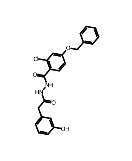 O=C(Cc1cccc(O)c1)NNC(=O)c1ccc(OCc2ccccc2)cc1Cl